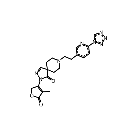 CC1=C(N2N=CC3(CCN(CCc4ccc(-n5cnnn5)nc4)CC3)C2=O)COC1=O